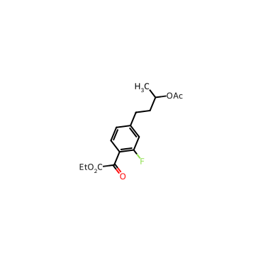 CCOC(=O)C(=O)c1ccc(CCC(C)OC(C)=O)cc1F